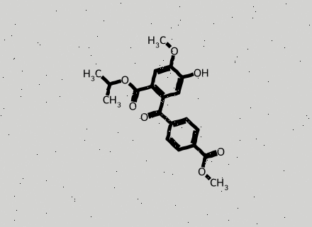 COC(=O)c1ccc(C(=O)c2cc(O)c(OC)cc2C(=O)OC(C)C)cc1